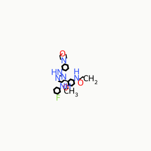 C=CC(=O)Nc1ccc(OC)c(-c2nc(Nc3cccc(N4CCOCC4)c3)ncc2Nc2cccc(F)c2)c1